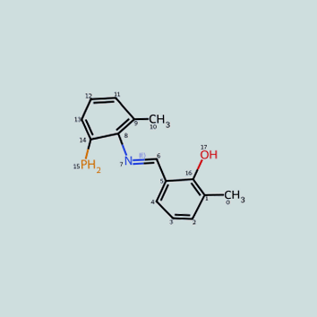 Cc1cccc(/C=N/c2c(C)cccc2P)c1O